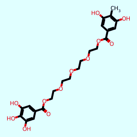 Cc1c(O)cc(C(=O)OCCOCCOCCOCCOC(=O)c2cc(O)c(O)c(O)c2)cc1O